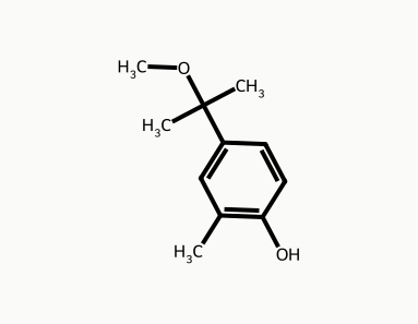 COC(C)(C)c1ccc(O)c(C)c1